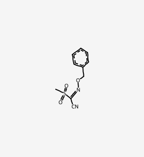 CS(=O)(=O)/C(C#N)=N\OCc1ccccc1